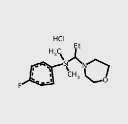 CCC(N1CCOCC1)[Si](C)(C)c1ccc(F)cc1.Cl